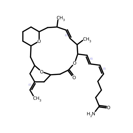 C/C=C1\CC2CC(=O)OC(/C=C/C=C\CCCC(N)=O)C(C)/C=C/C(C)CC3CCCC(CC(C1)O2)O3